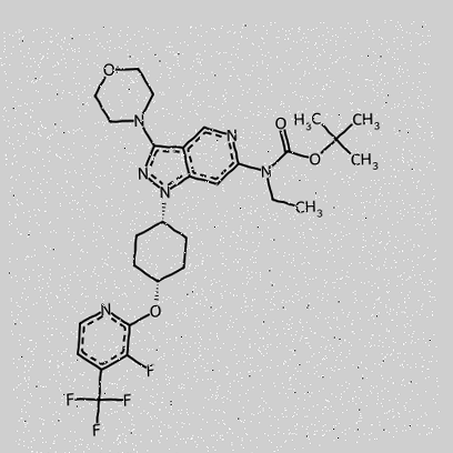 CCN(C(=O)OC(C)(C)C)c1cc2c(cn1)c(N1CCOCC1)nn2[C@H]1CC[C@@H](Oc2nccc(C(F)(F)F)c2F)CC1